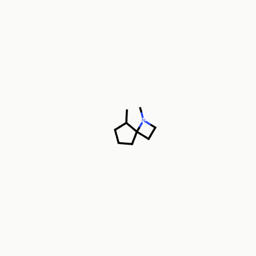 CC1CCCC12CCN2C